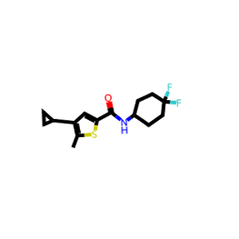 Cc1sc(C(=O)NC2CCC(F)(F)CC2)cc1C1CC1